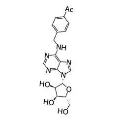 CC(=O)c1ccc(CNc2ncnc3c2ncn3[C@@H]2O[C@H](CO)[C@@H](O)[C@H]2O)cc1